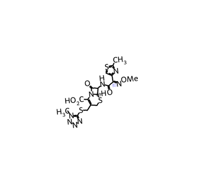 CO/N=C(/C(=O)NC1C(=O)N2C(C(=O)O)=C(CSc3nnnn3C)CS[C@H]12)c1csc(C)n1